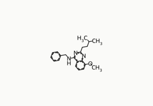 COc1cccc2c(NCc3ccccc3)nc(CCC(C)C)nc12